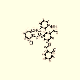 C=C(Nc1cccc(C=O)c1)c1cc(OCc2ccccc2Cl)cc(OCc2ccccc2Cl)c1